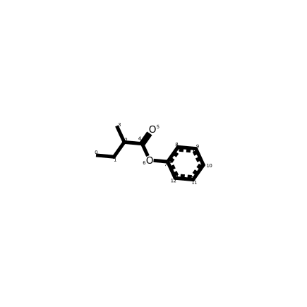 CC[C](C)C(=O)Oc1ccccc1